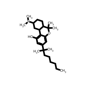 CCCCCCC(C)(C)c1cc(O)c2c(c1)OC(C)(C)C1CCC(N(C)C)CC21